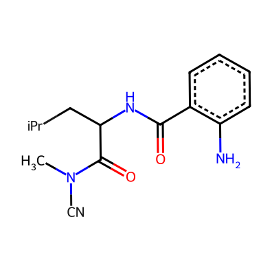 CC(C)CC(NC(=O)c1ccccc1N)C(=O)N(C)C#N